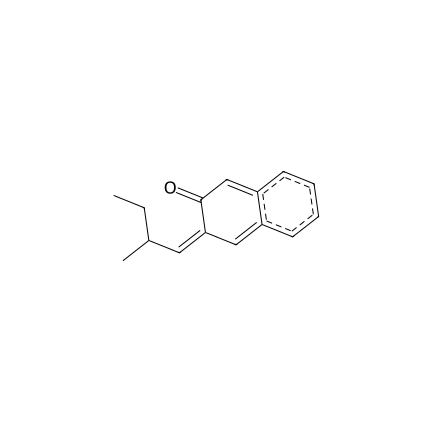 CCC(C)C=C1C=c2ccccc2=CC1=O